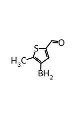 Bc1cc(C=O)sc1C